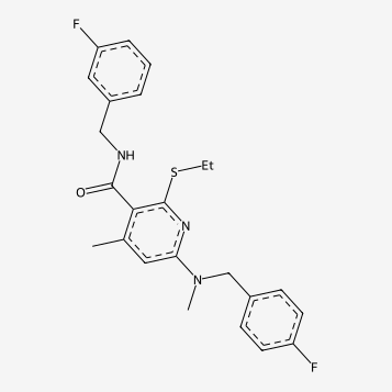 CCSc1nc(N(C)Cc2ccc(F)cc2)cc(C)c1C(=O)NCc1cccc(F)c1